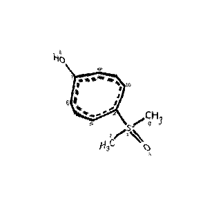 C[S+](C)(=O)c1ccc(O)cc1